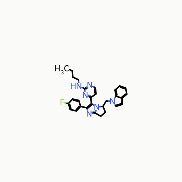 CCCCNc1nccc(-c2c(-c3ccc(F)cc3)nc3n2C(Cn2ccc4ccccc42)CC3)n1